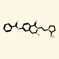 CC1CCCN1CCN1C(=O)c2ccc(OC(=O)c3ccccc3)cc2C[C@H]1F